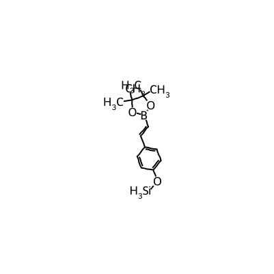 CC1(C)OB(C=Cc2ccc(O[SiH3])cc2)OC1(C)C